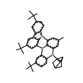 Cc1cc2c3c(c1)-n1c4ccc(C(C)(C)C)cc4c4cc(C(C)(C)C)cc(c41)B3c1cc(C(C)(C)C)ccc1N2C1C2CC3C(C2)C31